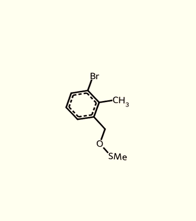 CSOCc1cccc(Br)c1C